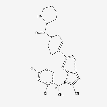 C[C@H](c1ccc(Cl)cc1Cl)n1c(C#N)nc2ccc(C3=CCN(C(=O)C4CCCCN4)CC3)cc21